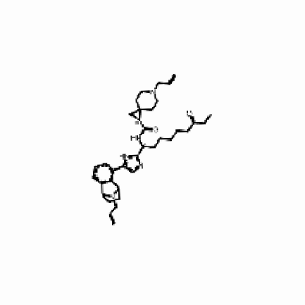 C=CCN1CCC2(CC1)C[C@@H]2C(=O)N[C@@H](CCCCCC(=O)CC)c1ncc(-c2cccc3c2C2CCC3N2CC=C)[nH]1